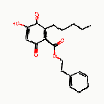 CCCCCC1=C(C(=O)OCCC2=CCCC=C2)C(=O)C=C(O)C1=O